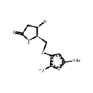 CC[C@@H]1CC(=O)N[C@@H]1COc1cc(OC)sc1C